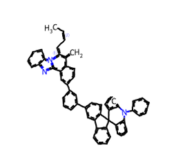 C=c1/c(=C\C=C/C)n2c3ccccc3nc2c2cc(-c3cccc(-c4ccc5c(c4)-c4ccccc4C54c5ccccc5N(c5ccccc5)c5ccccc54)c3)ccc12